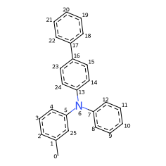 Cc1cccc(N(c2ccccc2)c2ccc(-c3ccccc3)cc2)c1